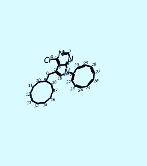 Clc1ncnc2c1c(CC1CCCCCCCCC1)cn2-c1ccccccccc1